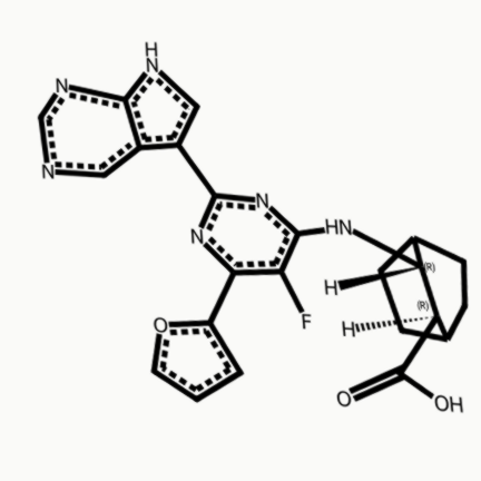 O=C(O)[C@@H]1C2CCC(CC2)[C@H]1Nc1nc(-c2c[nH]c3ncncc23)nc(-c2ccco2)c1F